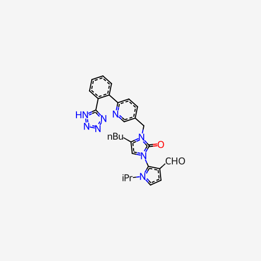 CCCCc1cn(-c2c(C=O)ccn2C(C)C)c(=O)n1Cc1ccc(-c2ccccc2-c2nnn[nH]2)nc1